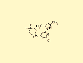 Cc1cc(C)n(-c2cc(NC3CCC(F)(F)CC3)cc(Cl)n2)n1